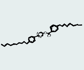 CCCCCCCCCCc1ccc(-c2ncc(OC(=O)c3ccc(CCCCCCCCC)cc3)cn2)cc1